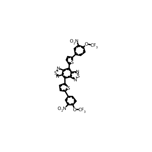 O=[N+]([O-])c1cc(-c2ccc(-c3c4c(c(-c5ccc(-c6ccc(OC(F)(F)F)c([N+](=O)[O-])c6)s5)c5nsnc35)N=S=N4)s2)ccc1OC(F)(F)F